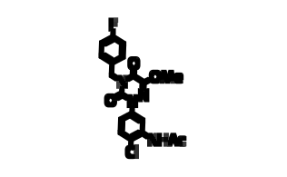 COc1nn(-c2ccc(Cl)c(NC(C)=O)c2)c(=O)n(Cc2ccc(F)cc2)c1=O